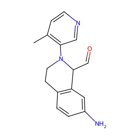 Cc1ccncc1N1CCc2ccc(N)cc2C1C=O